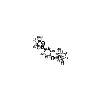 CN1[C@@H]2CC[C@H]1C[C@@H](Oc1ccc(B3OC(C)(C)C(C)(C)O3)cc1)C2